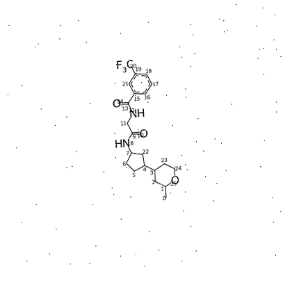 CC1CC(C2CCC(NC(=O)CNC(=O)c3cccc(C(F)(F)F)c3)C2)CCO1